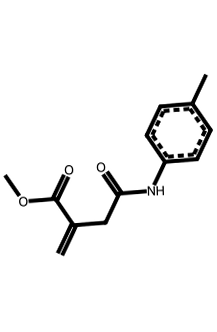 C=C(CC(=O)Nc1ccc(C)cc1)C(=O)OC